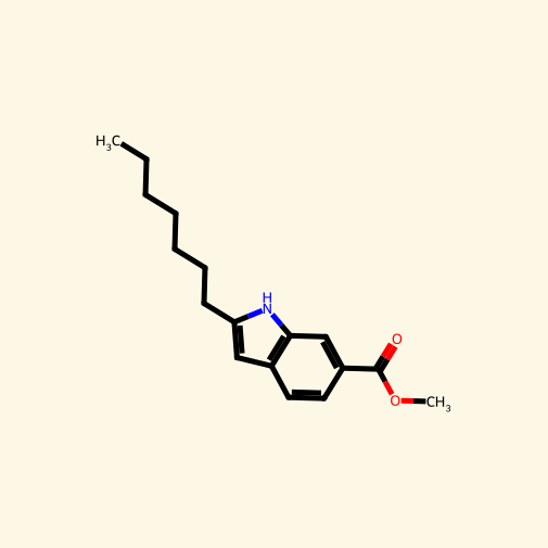 CCCCCCCc1cc2ccc(C(=O)OC)cc2[nH]1